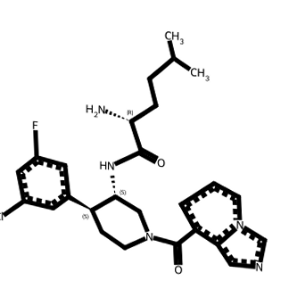 CC(C)CC[C@@H](N)C(=O)N[C@@H]1CN(C(=O)c2cccn3cncc23)CC[C@H]1c1cc(F)cc(Cl)c1